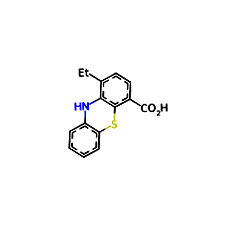 CCc1ccc(C(=O)O)c2c1Nc1ccccc1S2